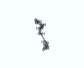 O=C1CCC(N2C(=O)c3cccc(NCCCCCCCCNC(=O)c4ccc(Nc5ncc(F)c(Nc6ccc(C(=O)Nc7ccccc7Cl)cc6)n5)cc4)c3C2=O)C(=O)N1